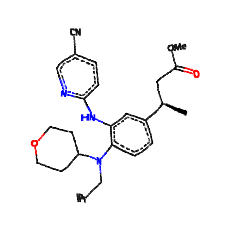 COC(=O)C[C@@H](C)c1ccc(N(CC(C)C)C2CCOCC2)c(Nc2ccc(C#N)cn2)c1